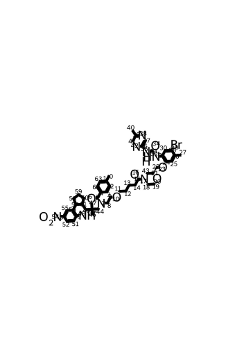 Cc1ccc(C(=O)N(CCOCCCCC(=O)N2CCO[C@H](COc3cc(C)c(Br)cc3NC(=O)Nc3cnc(C)cn3)C2)CC(C)(C)C2Nc3ccc([N+](=O)[O-])cc3C3CCCC32)cc1